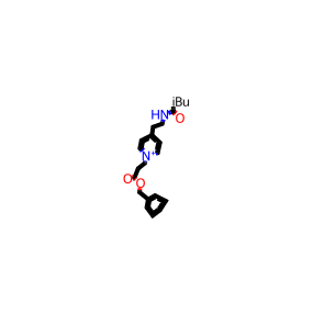 CCC(C)C(=O)NCCc1cc[n+](CCC(=O)OCc2ccccc2)cc1